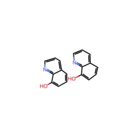 Oc1cccc2cccnc12.Oc1cccc2cccnc12